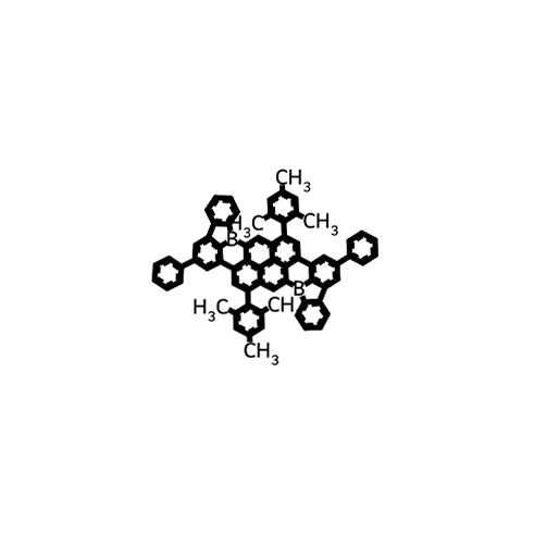 Cc1cc(C)c(-c2cc3c4c(cc5c(-c6c(C)cc(C)cc6C)cc6c7c(cc2c4c57)B2c4ccccc4-c4cc(-c5ccccc5)cc-6c42)B2c4ccccc4-c4cc(-c5ccccc5)cc-3c42)c(C)c1